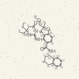 CCC1(CC)CC(=O)N([C@H]2c3cc(C(=O)N[C@H]4CCCc5ccccc54)ccc3O[C@@]2(C)COC)C(=N)N1